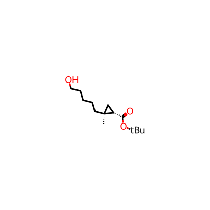 CC(C)(C)OC(=O)[C@H]1C[C@]1(C)CCCCCO